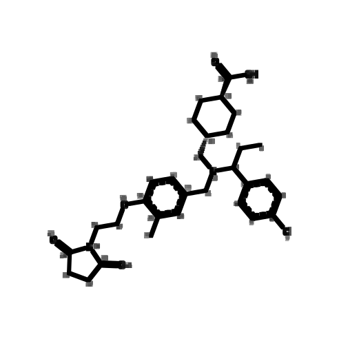 CCC(c1ccc(Cl)cc1)N(Cc1ccc(OCCN2C(=O)CCC2=O)c(C)c1)C[C@H]1CC[C@H](C(=O)O)CC1